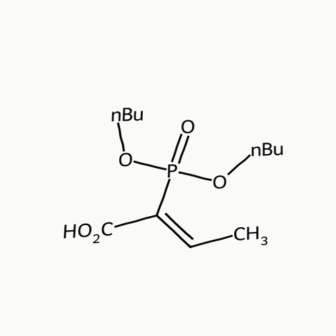 CC=C(C(=O)O)P(=O)(OCCCC)OCCCC